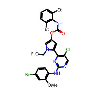 CCc1cccc(CC)c1NC(=O)Oc1cc(-c2nc(Nc3ccc(Br)cc3OC)ncc2Cl)n(CC(F)(F)F)c1